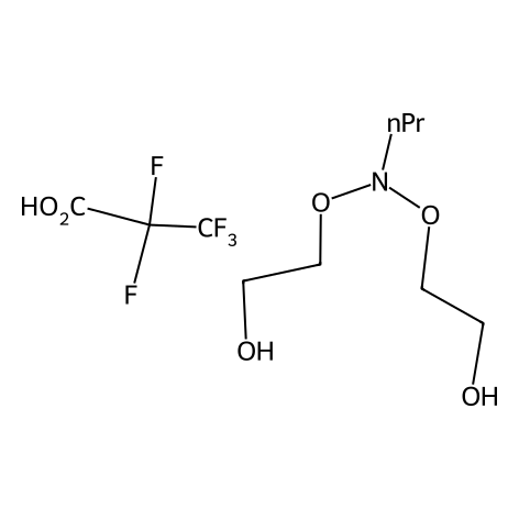 CCCN(OCCO)OCCO.O=C(O)C(F)(F)C(F)(F)F